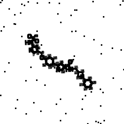 CS(=O)(=O)Nc1ncc(COc2ccc(-c3cn(C(=O)NCC4CN(c5ccccc5)C4)cn3)cc2)s1